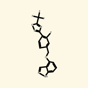 Fc1cc(COc2cccc3[nH]ncc23)ccc1-c1noc(C(F)(F)F)n1